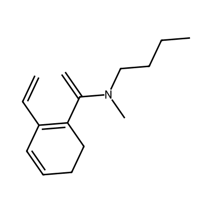 C=CC1=C(C(=C)N(C)CCCC)CCC=C1